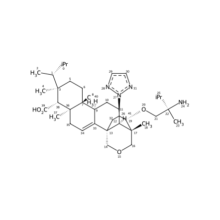 CC(C)[C@@H](C)[C@@]1(C)CC[C@]2(C)[C@H]3CC[C@@H]4[C@@]5(COC[C@@]4(C)[C@@H](OC[C@](C)(N)C(C)C)[C@H](n4nccn4)C5)C3=CC[C@@]2(C)[C@@H]1C(=O)O